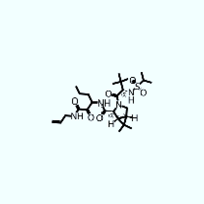 C=CCNC(=O)C(=O)C(CCC)NC(=O)[C@@H]1[C@@H]2[C@H](CN1C(=O)[C@@H](NS(=O)(=O)C(C)C)C(C)(C)C)C2(C)C